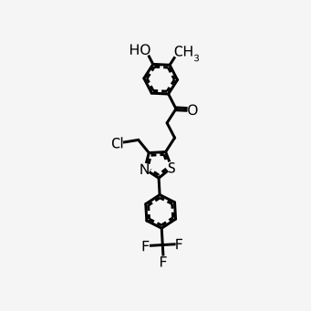 Cc1cc(C(=O)CCc2sc(-c3ccc(C(F)(F)F)cc3)nc2CCl)ccc1O